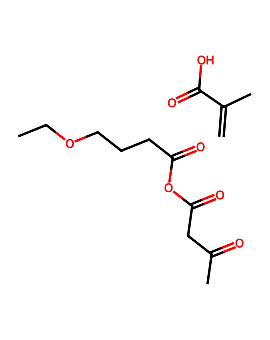 C=C(C)C(=O)O.CCOCCCC(=O)OC(=O)CC(C)=O